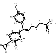 NC(=O)CCC/C=C(\c1ccc(Cl)nc1)c1ccc(C2CC2)c(=O)[nH]1